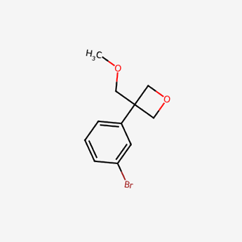 COCC1(c2cccc(Br)c2)COC1